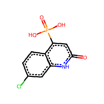 O=c1cc(P(=O)(O)O)c2ccc(Cl)cc2[nH]1